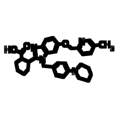 Cc1ccc(COc2ccc3nc(C4CCCCC4C(=O)O)n(Cc4ccc(N5CCCCC5)cc4)c3c2)nc1